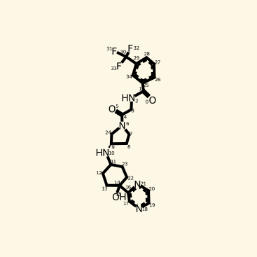 O=C(NCC(=O)N1CC[C@H](NC2CCC(O)(c3cnccn3)CC2)C1)c1cccc(C(F)(F)F)c1